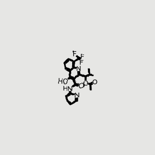 CC(=O)OC(c1nc2c(C(F)(F)F)cccc2c(O)c1C(=O)Nc1ccccn1)C(C)C